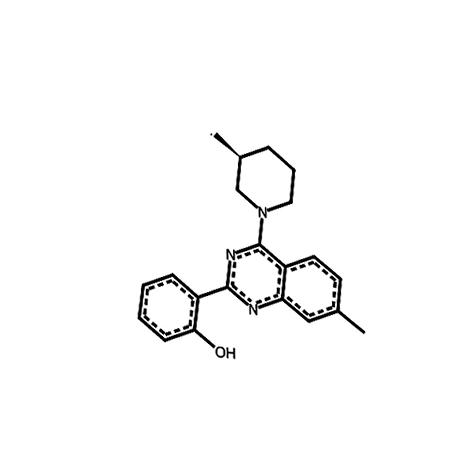 [CH2][C@H]1CCCN(c2nc(-c3ccccc3O)nc3cc(C)ccc23)C1